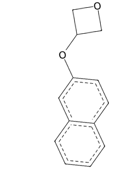 c1ccc2cc(OC3COC3)ccc2c1